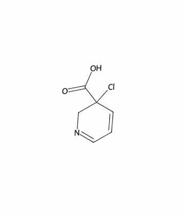 O=C(O)C1(Cl)C=CC=NC1